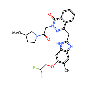 COC1CCN(C(=O)Cn2nc(Cc3nc4cc(C#N)c(OCC(F)F)cc4[nH]3)c3ccccc3c2=O)C1